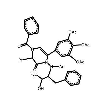 CC(=O)Oc1cc(C2=CN(C(=O)c3ccccc3)C(C(C)C)C(=O)N2N(C(C)=O)C(Cc2ccccc2)C(O)C(F)(F)F)cc(OC(C)=O)c1OC(C)=O